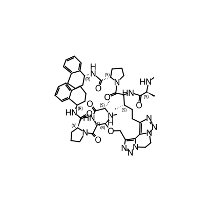 CN[C@@H](C)C(=O)NC(C(=O)N1CCC[C@H]1C(=O)N[C@@H]1CCCc2ccccc21)[C@@H](C)CCc1nnn2c1-c1c(CO[C@H](C)[C@H](NC(=O)[C@H](C)NC)C(=O)N3CCC[C@H]3C(=O)N[C@@H]3CCCc4ccccc43)nnn1CC2